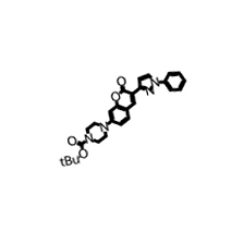 CC(C)(C)OC(=O)N1CCN(c2ccc3cc(-c4ccn(-c5ccccc5)n4)c(=O)oc3c2)CC1